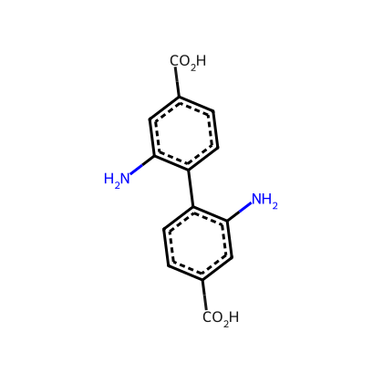 Nc1cc(C(=O)O)ccc1-c1ccc(C(=O)O)cc1N